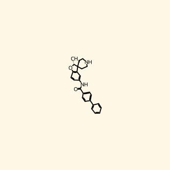 C[C@H]1Oc2ccc(NC(=O)c3ccc(-c4ccccc4)cc3)cc2C12CCNCC2